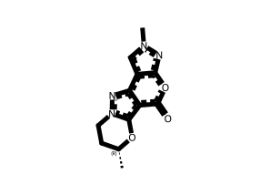 C[C@@H]1CCn2nc3c(c2O1)c(=O)oc1nn(C)cc13